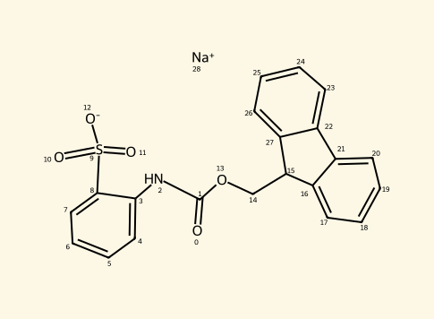 O=C(Nc1ccccc1S(=O)(=O)[O-])OCC1c2ccccc2-c2ccccc21.[Na+]